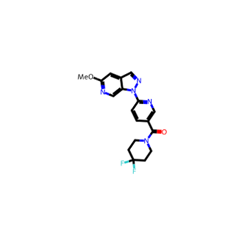 COc1cc2cnn(-c3ccc(C(=O)N4CCC(F)(F)CC4)cn3)c2cn1